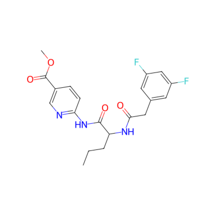 CCCC(NC(=O)Cc1cc(F)cc(F)c1)C(=O)Nc1ccc(C(=O)OC)cn1